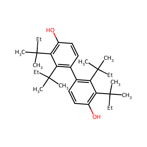 CCC(C)(C)c1c(O)ccc(-c2ccc(O)c(C(C)(C)CC)c2C(C)(C)CC)c1C(C)(C)CC